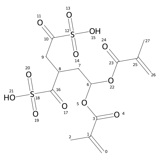 C=C(C)C(=O)OC(CC(CC(=O)S(=O)(=O)O)C(=O)S(=O)(=O)O)OC(=O)C(=C)C